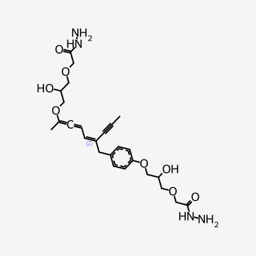 CC#C/C(=C\C=C=C(C)OCC(O)COCC(=O)NN)Cc1ccc(OCC(O)COCC(=O)NN)cc1